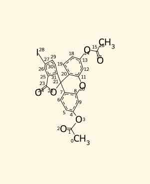 CC(=O)Oc1ccc2c(c1)Oc1cc(OC(C)=O)ccc1C21OC(=O)c2cc(I)ccc21